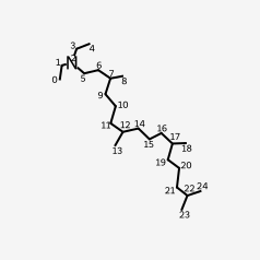 CCN(CC)CCC(C)CCCC(C)CCCC(C)CCCC(C)C